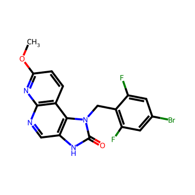 COc1ccc2c(ncc3[nH]c(=O)n(Cc4c(F)cc(Br)cc4F)c32)n1